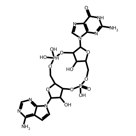 Nc1nc2c(ncn2C2OC3COP(=O)(O)OC4C(CO[PH](O)(O)OC2C3O)OC(n2ccc3c(N)ncnc32)C4O)c(=O)[nH]1